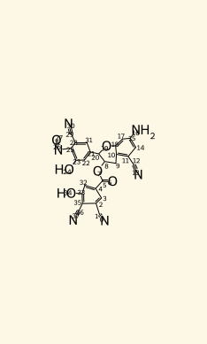 N#Cc1cc(C(=O)OC2Cc3c(C#N)cc(N)cc3OC2c2cc(O)c(N=O)c(C#N)c2)cc(O)c1C#N